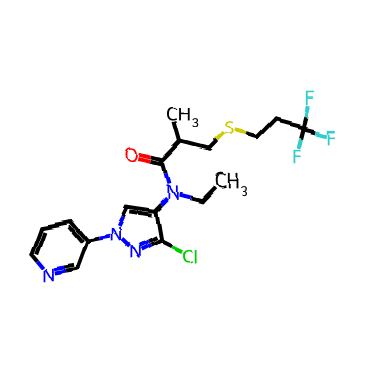 CCN(C(=O)C(C)CSCCC(F)(F)F)c1cn(-c2cccnc2)nc1Cl